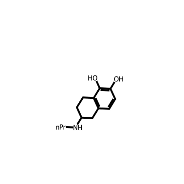 CCCNC1CCc2c(ccc(O)c2O)C1